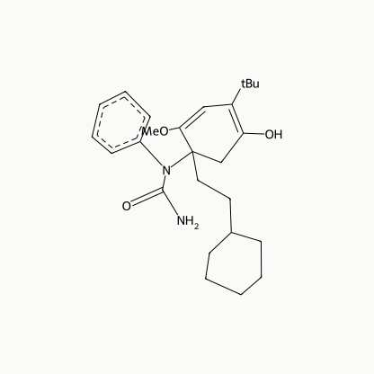 COC1=CC(C(C)(C)C)=C(O)CC1(CCC1CCCCC1)N(C(N)=O)c1ccccc1